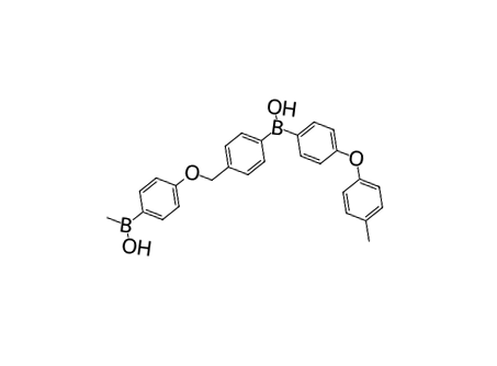 CB(O)c1ccc(OCc2ccc(B(O)c3ccc(Oc4ccc(C)cc4)cc3)cc2)cc1